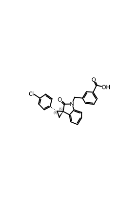 O=C(O)c1cccc(CN2C(=O)[C@]3(C[C@@H]3c3ccc(Cl)cc3)c3ccccc32)c1